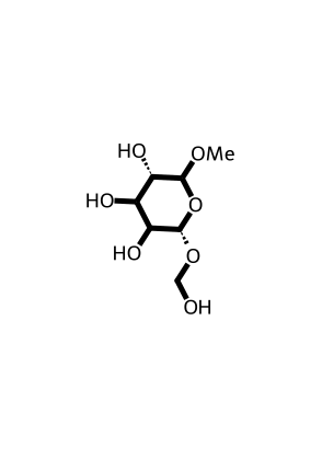 COC1O[C@H](OCO)C(O)C(O)[C@@H]1O